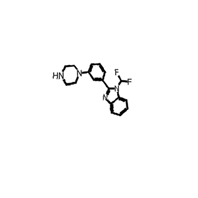 FC(F)n1c(-c2cccc(N3CCNCC3)c2)nc2ccccc21